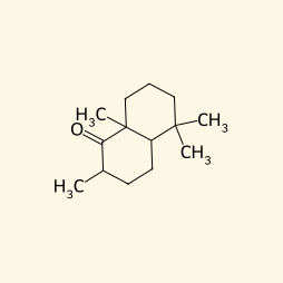 CC1CCC2C(C)(C)CCCC2(C)C1=O